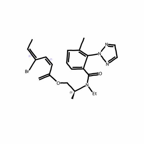 C=C(/C=C\C(Br)=C/C)OC[C@H](C)N(CC)C(=O)c1cccc(C)c1-n1nccn1